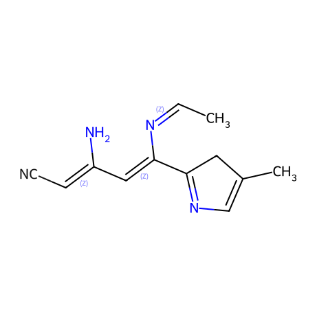 C\C=N/C(=C\C(N)=C\C#N)C1=NC=C(C)C1